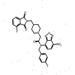 O=C1c2cccc(F)c2C(=O)N1CC1CCN(CC(=O)N(Cc2ccc(F)cc2)c2ccc([N+](=O)[O-])c3nonc23)CC1